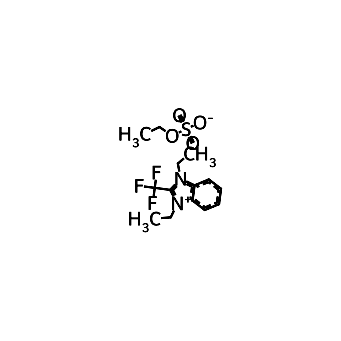 CCOS(=O)(=O)[O-].CCn1c(C(F)(F)F)[n+](CC)c2ccccc21